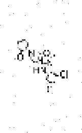 COc1ccccc1N1CCN(/C(=N\C(C)=O)Nc2cc(Cl)cc(Cl)c2)CC1